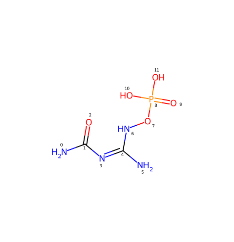 NC(=O)N=C(N)NOP(=O)(O)O